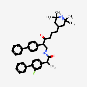 CC(C(=O)NCC(C(=O)CCCC1CC(C)(C)NC(C)(C)C1)c1ccc(-c2ccccc2)cc1)c1ccc(-c2ccccc2)c(F)c1